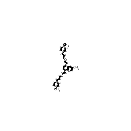 Cc1cnc2c(c1)N(CCOCCCN1CCN(C)CC1)CCN2CCOCCCN1CCN(C)CC1